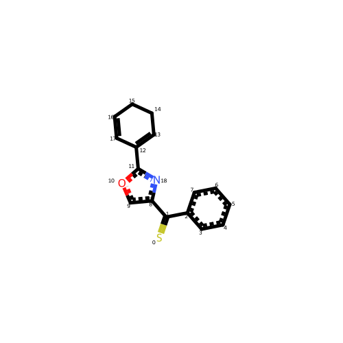 S=C(c1ccccc1)c1coc(C2=CCCC=C2)n1